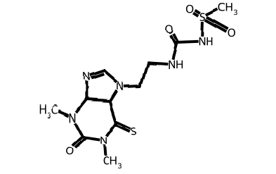 CN1C(=O)N(C)C2N=CN(CCNC(=O)NS(C)(=O)=O)C2C1=S